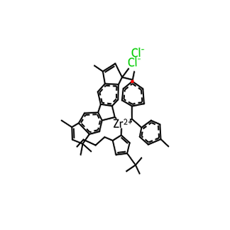 CCCCC1C=C(C(C)(C)C)C=[C]1[Zr+2](=[C](c1ccc(C)cc1)c1ccc(C)cc1)[CH]1c2cc3c(cc2-c2cc4c(cc21)C(C)(C)C=C4C)C(C)=CC3(C)C.[Cl-].[Cl-]